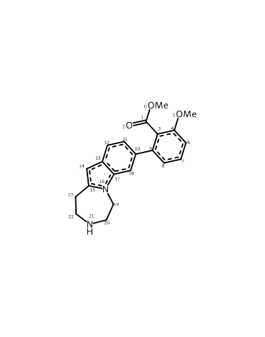 COC(=O)c1c(OC)cccc1-c1ccc2cc3n(c2c1)CCNCC3